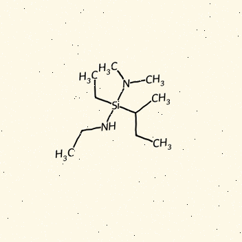 CCN[Si](CC)(C(C)CC)N(C)C